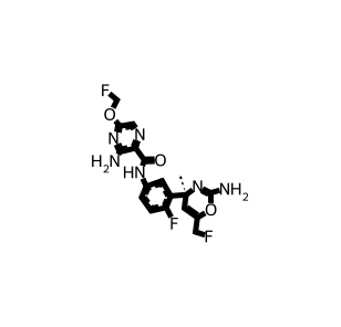 C[C@@]1(c2cc(NC(=O)c3ncc(OCF)nc3N)ccc2F)C=C(CF)OC(N)=N1